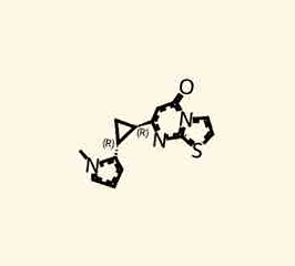 Cn1cccc1[C@@H]1C[C@H]1c1cc(=O)n2ccsc2n1